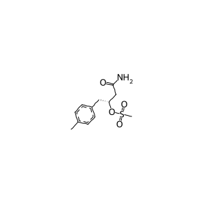 Cc1ccc(C[C@H](CC(N)=O)OS(C)(=O)=O)cc1